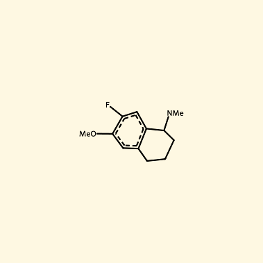 CNC1CCCc2cc(OC)c(F)cc21